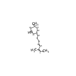 C/C=C(/C)C=CCCC[C@@H]1CC[C@H](C)CNC1